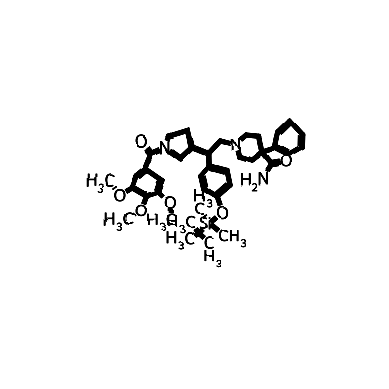 COc1cc(C(=O)N2CCC(C(CN3CCC(C(N)=O)(c4ccccc4)CC3)c3ccc(O[Si](C)(C)C(C)(C)C)cc3)C2)cc(OC)c1OC